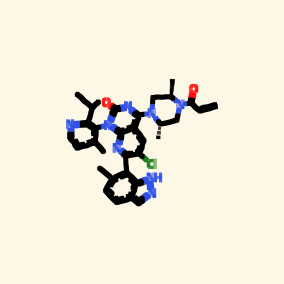 C=CC(=O)N1C[C@H](C)N(c2nc(=O)n(-c3c(C)ccnc3C(C)C)c3nc(-c4c(C)ccc5cn[nH]c45)c(Cl)cc23)C[C@H]1C